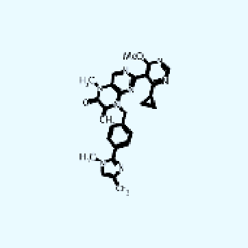 COc1ncnc(C2CC2)c1-c1ncc2c(n1)N(Cc1ccc(-c3nc(C(F)(F)F)cn3C)cc1)C(C)C(=O)N2C